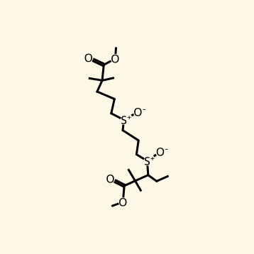 CCC([S+]([O-])CCC[S+]([O-])CCCC(C)(C)C(=O)OC)C(C)(C)C(=O)OC